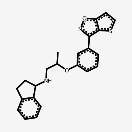 CC(CNC1CCc2ccccc21)Oc1cccc(-c2noc3ccsc23)c1